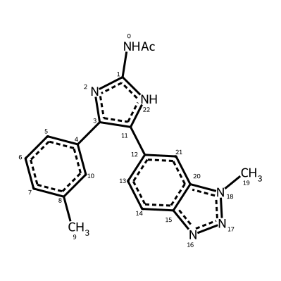 CC(=O)Nc1nc(-c2cccc(C)c2)c(-c2ccc3nnn(C)c3c2)[nH]1